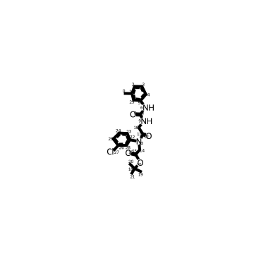 Cc1cccc(NC(=O)NCC(=O)N(CC(=O)OC(C)(C)C)c2cccc(Cl)c2)c1